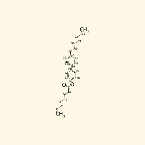 CCCCC/C=C/C(=O)Oc1ccc(-c2ccc(CCCCCCC)cn2)cc1